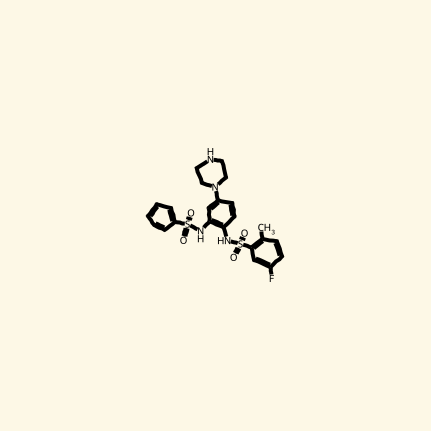 Cc1ccc(F)cc1S(=O)(=O)Nc1ccc(N2CCNCC2)cc1NS(=O)(=O)c1ccccc1